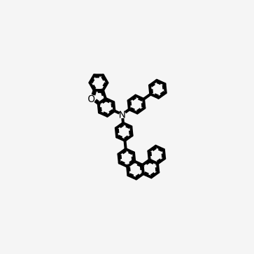 c1ccc(-c2ccc(N(c3ccc(-c4ccc5ccc6ccc7ccccc7c6c5c4)cc3)c3ccc4oc5ccccc5c4c3)cc2)cc1